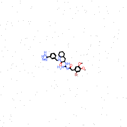 COc1cc(Br)c(CC(=O)N=C(N)NC(CC2CCCCC2)C(=O)NCc2cccc(-c3nnn[nH]3)c2)cc1OC